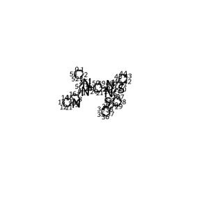 c1ccc(-c2cc(-c3cnc4ccccc4c3)nc(-c3ccc(-c4nc(-c5cccc6c5sc5ccccc56)c5sc6ccccc6c5n4)cc3)n2)cc1